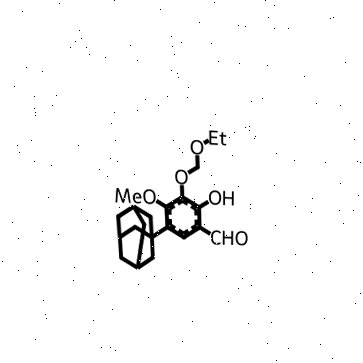 CCOCOc1c(O)c(C=O)cc(C23CC4CC(CC(C4)C2)C3)c1OC